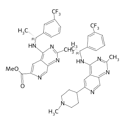 COC(=O)c1cc2c(N[C@H](C)c3cccc(C(F)(F)F)c3)nc(C)nc2cn1.Cc1nc(N[C@H](C)c2cccc(C(F)(F)F)c2)c2cc(C3CCN(C)CC3)ncc2n1